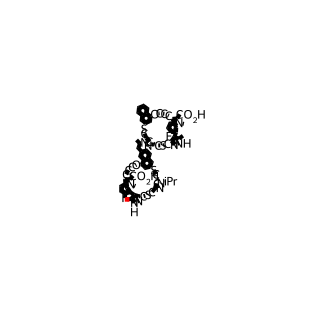 Cc1[nH]nc2c1-c1c(F)ccc3c(c(C(=O)O)n(C)c13)CCCOc1cc(cc3ccc(CC(C)n4nc5cc4CSc4cc(c6ccccc6c4)OCCCc4c(C(=O)O)n(C)c6c(c(F)ccc46)-c4c(n[nH]c4C)CSC5)cc13)SCc1cc(nn1C(C)C)CSC2